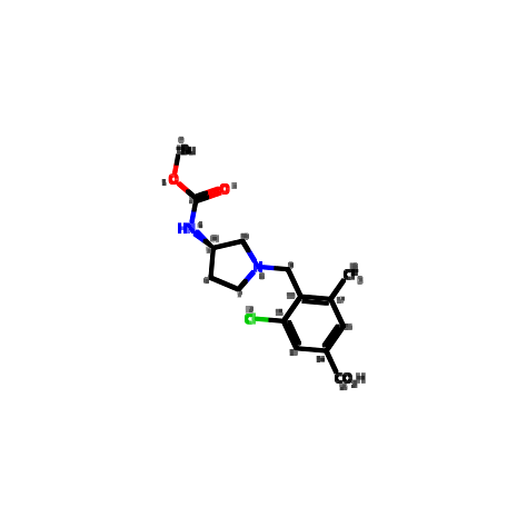 CC(C)(C)OC(=O)N[C@@H]1CCN(Cc2c(Cl)cc(C(=O)O)cc2C(F)(F)F)C1